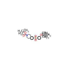 CC(C)(C)OC(=O)N1CCc2ccc(S(=O)(=O)c3cccc(O[Si](C)(C)C(C)(C)C)c3)cc2CC1